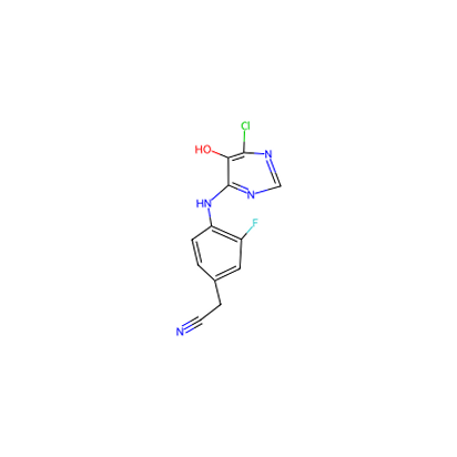 N#CCc1ccc(Nc2ncnc(Cl)c2O)c(F)c1